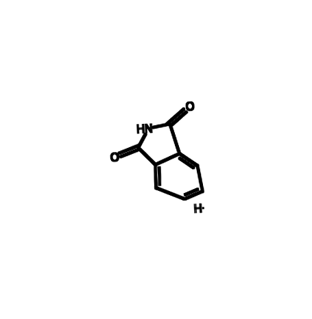 O=C1NC(=O)c2ccccc21.[H]